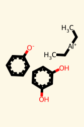 C[CH2][Al+][CH2]C.Oc1cccc(O)c1.[O-]c1ccccc1